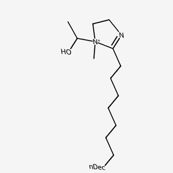 CCCCCCCCCCCCCCCCCC1=NCC[N+]1(C)C(C)O